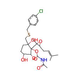 COC1C(O)CCC(O)(CSCc2ccc(Cl)cc2)C1(OC(=O)NC(C)=O)C1(C)OC1CC=C(C)C